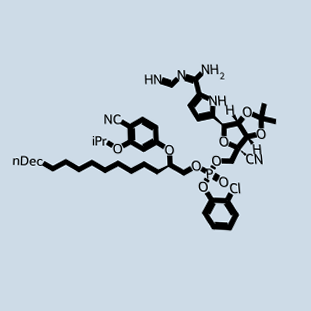 CCCCCCCCCCCCCCCCCCC[C@H](COP(=O)(OC[C@@]1(C#N)O[C@@H](c2ccc(/C(N)=N\C=N)[nH]2)[C@@H]2OC(C)(C)O[C@@H]21)Oc1ccccc1Cl)Oc1ccc(C#N)c(OC(C)C)c1